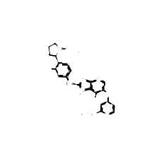 CC(=O)Nc1cc(Oc2cnc3nc(Nc4ccc(C5CCCN5C)c(C(F)(F)F)c4)n(C)c3c2Cl)ccn1